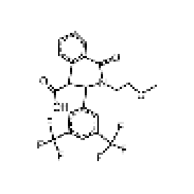 COCCN1C(=O)c2ccccc2C(C(=O)O)C1c1cc(C(F)(F)F)cc(C(F)(F)F)c1